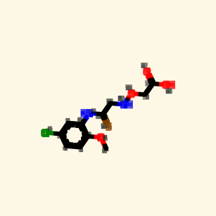 COc1ccc(Cl)cc1NC(=S)CNOCC(=O)O